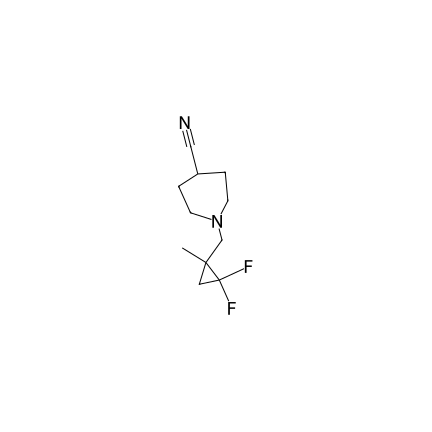 CC1(CN2CCC(C#N)CC2)CC1(F)F